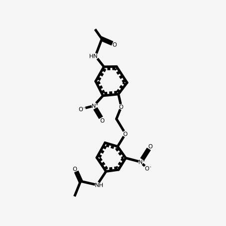 CC(=O)Nc1ccc(OCOc2ccc(NC(C)=O)cc2[N+](=O)[O-])c([N+](=O)[O-])c1